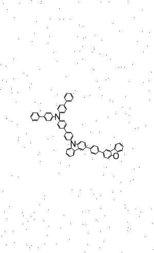 c1ccc(-c2ccc(N(c3ccc(-c4ccccc4)cc3)c3ccc(-c4ccc(-n5c6ccccc6c6cc(-c7ccc(-c8ccc9oc%10ccccc%10c9c8)cc7)ccc65)cc4)cc3)cc2)cc1